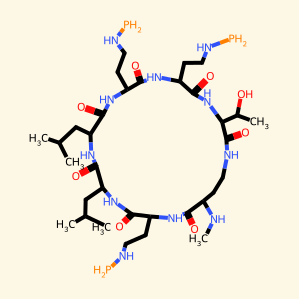 CNC1CCNC(=O)C(C(C)O)NC(=O)C(CCNP)NC(=O)C(CCNP)NC(=O)C(CC(C)C)NC(=O)C(CC(C)C)NC(=O)C(CCNP)NC1=O